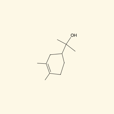 CC1=C(C)CC(C(C)(C)O)CC1